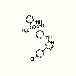 COc1ccccc1NS(=O)(=O)c1cccc(Nc2cc(-c3ccc(Cl)cc3)ncn2)c1